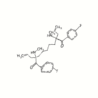 C=CCC(CCCCCC(CC=C)(NC)C(=O)c1ccc(F)cc1)(NC)C(=O)c1ccc(F)cc1